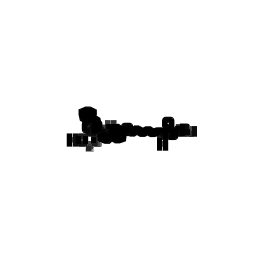 CC(C)(C)OC(=O)NCCCCCCOc1ccc(C[C@H](NC(=O)Cc2ccccc2C(=O)O)C(=O)O)cc1